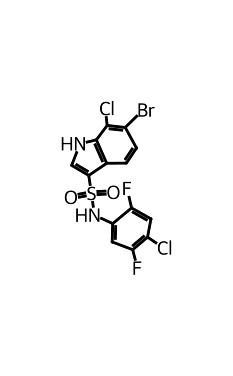 O=S(=O)(Nc1cc(F)c(Cl)cc1F)c1c[nH]c2c(Cl)c(Br)ccc12